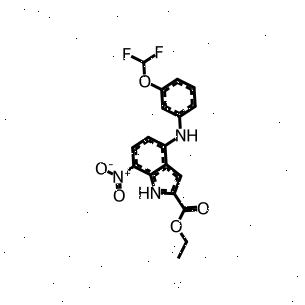 CCOC(=O)c1cc2c(Nc3cccc(OC(F)F)c3)ccc([N+](=O)[O-])c2[nH]1